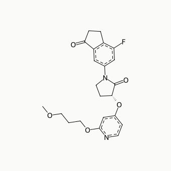 COCCCOc1cc(O[C@@H]2CCN(c3cc(F)c4c(c3)C(=O)CC4)C2=O)ccn1